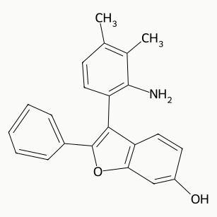 Cc1ccc(-c2c(-c3ccccc3)oc3cc(O)ccc23)c(N)c1C